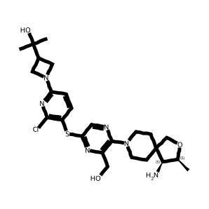 C[C@@H]1OCC2(CCN(c3ncc(Sc4ccc(N5CC(C(C)(C)O)C5)nc4Cl)nc3CO)CC2)[C@@H]1N